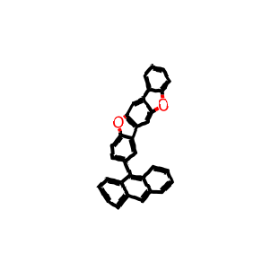 c1ccc2c(-c3ccc4oc5cc6c(cc5c4c3)oc3ccccc36)c3ccccc3cc2c1